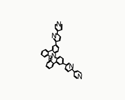 c1ccc2c(c1)B1c3ccccc3-c3cc(-c4ccc(-c5ccncc5)nc4)ccc3N1c1ccc(-c3ccc(-c4ccncc4)nc3)cc1-2